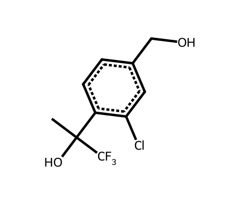 CC(O)(c1ccc(CO)cc1Cl)C(F)(F)F